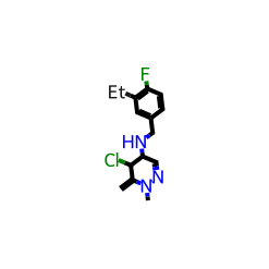 C=C1C(Cl)C(NCc2ccc(F)c(CC)c2)C=NN1C